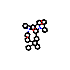 c1ccc(-c2ccccc2N(c2cccc(-c3ccc4c(c3)c(-c3ccccc3)c(-c3ccccc3)c3ccccc34)c2)c2ccccc2-c2ccc3c(c2)c2ccccc2n3-c2ccccc2)cc1